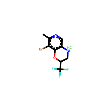 Cc1ncc2c(c1Br)OC(C(F)(F)F)CN2.Cl